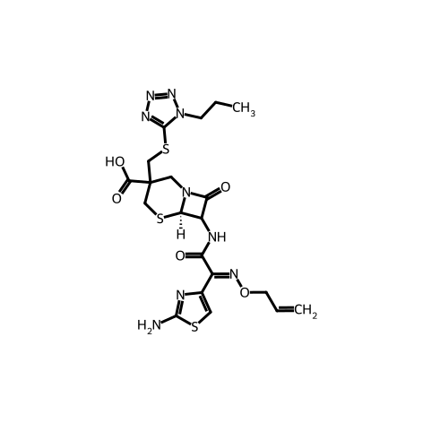 C=CCON=C(C(=O)NC1C(=O)N2CC(CSc3nnnn3CCC)(C(=O)O)CS[C@H]12)c1csc(N)n1